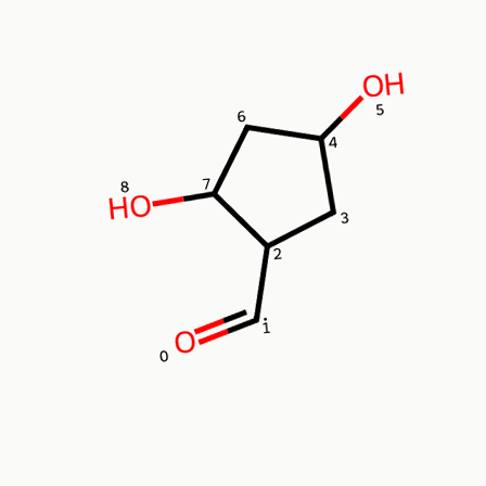 O=[C]C1CC(O)CC1O